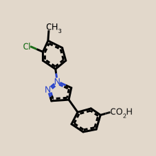 Cc1ccc(-n2cc(-c3cccc(C(=O)O)c3)cn2)cc1Cl